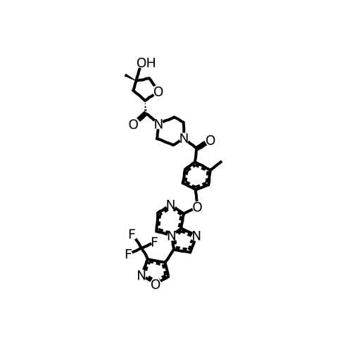 Cc1cc(Oc2nccn3c(-c4conc4C(F)(F)F)cnc23)ccc1C(=O)N1CCN(C(=O)[C@@H]2C[C@](C)(O)CO2)CC1